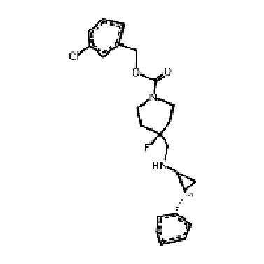 O=C(OCc1cccc(Cl)c1)N1CCC(F)(CNC2C[C@@H]2c2ccccc2)CC1